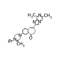 Cc1cn2cc(C3=Cc4ccc(N5CCN(C(C)C)[C@H](C)C5)cc4C(=O)CC3)nc2c(C)n1